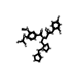 COc1cc(C(=O)N(C/C(C)=C/c2ccc(F)cc2F)CC2CCCN2CC2=CCCC2)ccc1OC(F)F